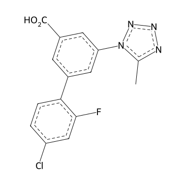 Cc1nnnn1-c1cc(C(=O)O)cc(-c2ccc(Cl)cc2F)c1